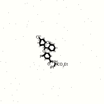 CCOC(=O)[C@H](NC(=O)c1ccc(OC(c2ccc(Cl)cc2)c2ccccc2Cl)c(F)c1)C(C)C